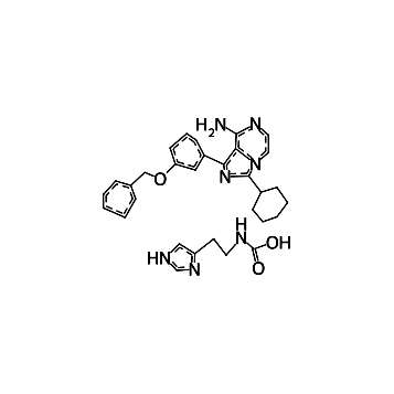 Nc1nccn2c(C3CCCCC3)nc(-c3cccc(OCc4ccccc4)c3)c12.O=C(O)NCCc1c[nH]cn1